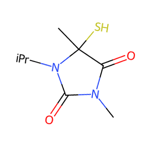 CC(C)N1C(=O)N(C)C(=O)C1(C)S